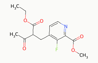 CCOC(=O)C(Cc1ccnc(C(=O)OC)c1F)C(C)=O